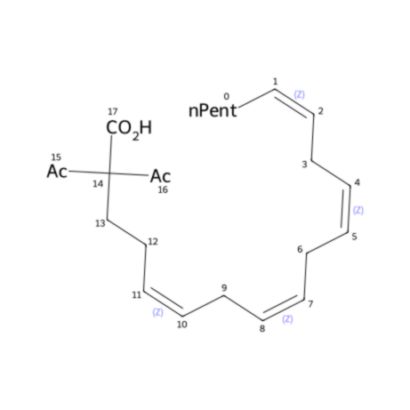 CCCCC/C=C\C/C=C\C/C=C\C/C=C\CCC(C(C)=O)(C(C)=O)C(=O)O